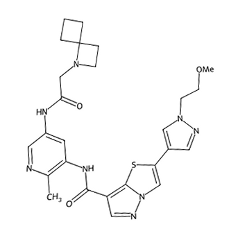 COCCn1cc(-c2cn3ncc(C(=O)Nc4cc(NC(=O)CN5CCC56CCC6)cnc4C)c3s2)cn1